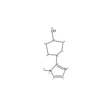 Cn1ccnc1C1CCC(O)CC1